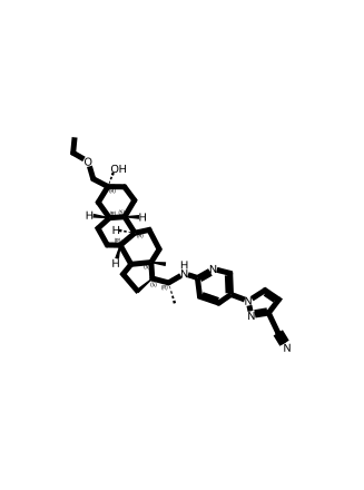 CCOC[C@@]1(O)CC[C@H]2[C@H](CC[C@H]3C4CC[C@H]([C@@H](C)Nc5ccc(-n6ccc(C#N)n6)cn5)[C@@]4(C)CC[C@H]23)C1